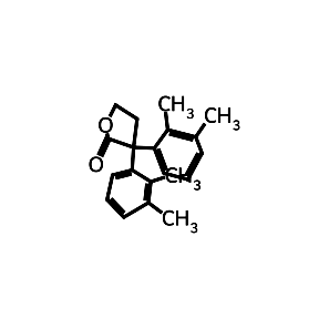 Cc1cccc(C2(c3cccc(C)c3C)CCOC2=O)c1C